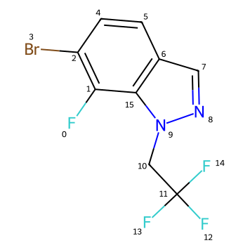 Fc1c(Br)ccc2cnn(CC(F)(F)F)c12